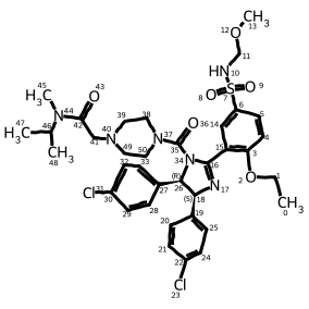 CCOc1ccc(S(=O)(=O)NCOC)cc1C1=N[C@@H](c2ccc(Cl)cc2)[C@@H](c2ccc(Cl)cc2)N1C(=O)N1CCN(CC(=O)N(C)C(C)C)CC1